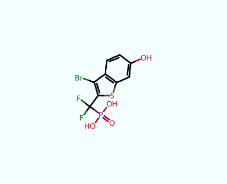 O=P(O)(O)C(F)(F)c1sc2cc(O)ccc2c1Br